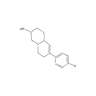 CCCC1CCC2C=C(c3ccc(F)cc3)CCC2C1